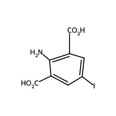 Nc1c(C(=O)O)cc(I)cc1C(=O)O